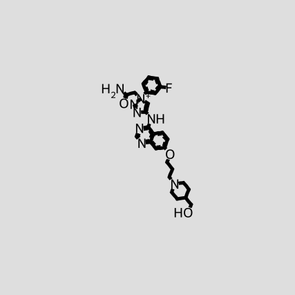 NC(=O)C[N+]1(c2cccc(F)c2)C=C(Nc2ncnc3cc(OCCCN4CCC(CO)CC4)ccc23)N=N1